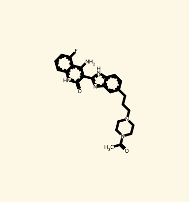 CC(=O)N1CCN(CCCc2ccc3[nH]c(-c4c(N)c5c(F)cccc5[nH]c4=O)nc3c2)CC1